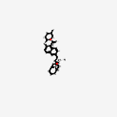 CC1CCC(Oc2ccc3cc(CCCN4C5CCCC4CC(C(=O)O)C5)ccc3c2C(F)F)CC1